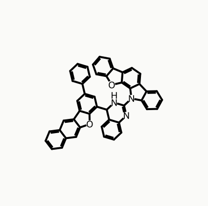 c1ccc(-c2cc(C3NC(n4c5ccccc5c5ccc6c7ccccc7oc6c54)=Nc4ccccc43)c3oc4cc5ccccc5cc4c3c2)cc1